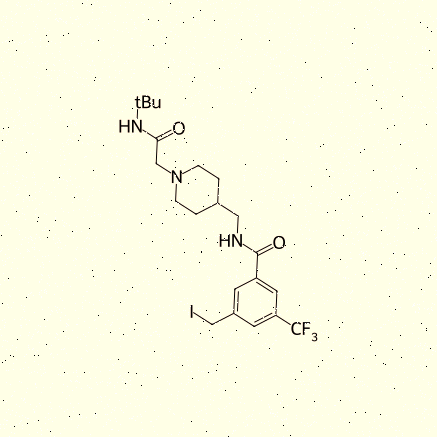 CC(C)(C)NC(=O)CN1CCC(CNC(=O)c2cc(CI)cc(C(F)(F)F)c2)CC1